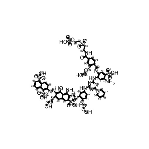 Nc1cc(Nc2nc(Nc3ccc(SOOO)c(N=Nc4c(S(=O)(=O)O)cc5cc(SOOO)c(N=Nc6ccc7c(S(=O)(=O)O)cccc7c6S(=O)(=O)O)c(O)c5c4N)c3)nc(-[n+]3ccccc3)n2)c(N=Nc2ccc(C(=O)NCCS(=O)(=O)CCOS(=O)(=O)O)cc2SOOO)cc1S(=O)(=O)O